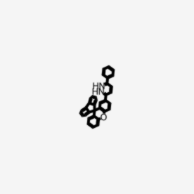 N=C(/C=C\C(=N)c1ccc2c(c1)C1(c3ccccc3O2)c2ccccc2-c2ccccc21)c1ccccc1